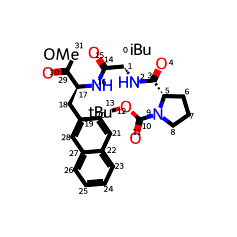 CC[C@H](C)[C@H](NC(=O)[C@@H]1CCCN1C(=O)OC(C)(C)C)C(=O)N[C@@H](Cc1ccc2ccccc2c1)C(=O)OC